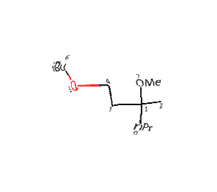 CCCC(C)(CCOC(C)CC)OC